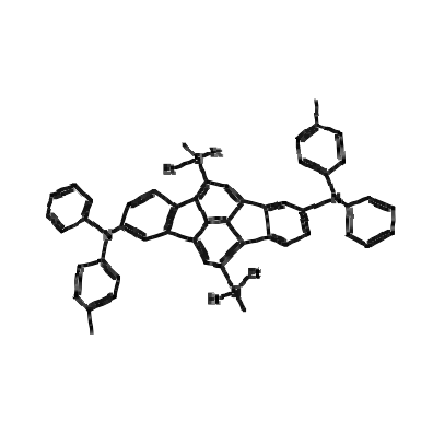 CC[Si](C)(CC)c1cc2c3c(c([Si](C)(CC)CC)cc4c3c1-c1ccc(N(c3ccccc3)c3ccc(C)cc3)cc1-4)-c1ccc(N(c3ccccc3)c3ccc(C)cc3)cc1-2